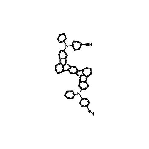 N#Cc1ccc(N(c2ccccc2)c2ccc3c4cccc5c6cc7c(cc6n(c3c2)c45)c2cccc3c4ccc(N(c5ccccc5)c5ccc(C#N)cc5)cc4n7c32)cc1